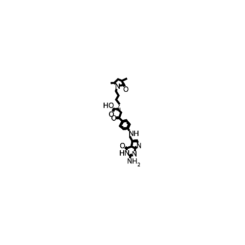 CC1CC(C)N(CCCC[C@H](CC(=O)c2ccc(NCC3=CN=C4N=C(N)NC(=O)C34)cc2)C(=O)O)C1=O